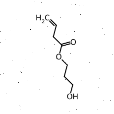 C=CCC(=O)OCCCO